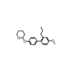 CCCc1cc(OC)ccc1-c1ccc(OC2CCCCO2)cc1